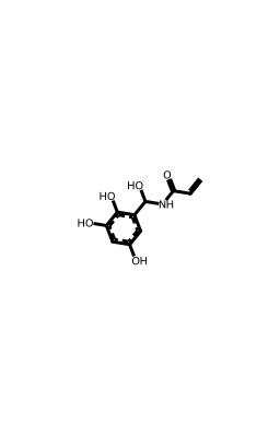 C=CC(=O)NC(O)c1cc(O)cc(O)c1O